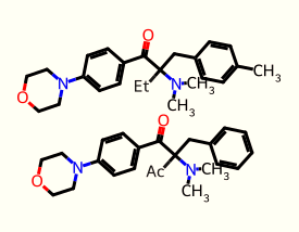 CC(=O)C(Cc1ccccc1)(C(=O)c1ccc(N2CCOCC2)cc1)N(C)C.CCC(Cc1ccc(C)cc1)(C(=O)c1ccc(N2CCOCC2)cc1)N(C)C